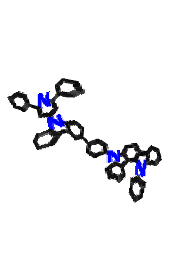 c1ccc(-c2cc(-n3c4ccccc4c4cc(-c5ccc(-n6c7ccccc7c7c6ccc6c8ccccc8n(-c8ccccc8)c67)cc5)ccc43)cc(-c3ccccc3)n2)cc1